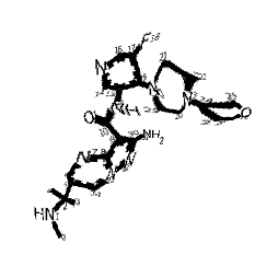 CNC(C)(C)c1cnc2c(C(=O)Nc3cncc(F)c3N3CCN(C4COC4)CC3)c(N)nn2c1